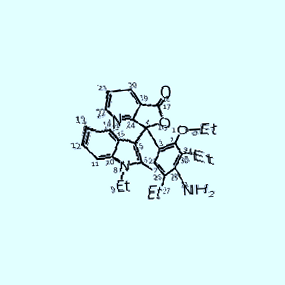 CCOc1c(C2(c3c(C)n(CC)c4ccccc34)OC(=O)c3cccnc32)cc(CC)c(N)c1CC